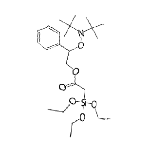 CCO[Si](CC(=O)OCC(ON(C(C)(C)C)C(C)(C)C)c1ccccc1)(OCC)OCC